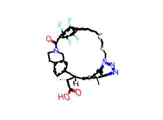 Cc1c2ccc3c1nnn3CCCCCCc1c(F)c(F)c(c(F)c1F)C(=O)N1CCc3ccc(cc3C1)[C@H]2[C@@H](C)C(=O)O